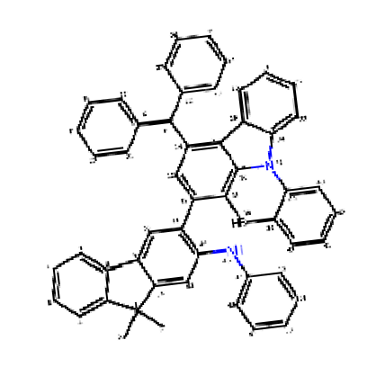 CC1(C)c2ccccc2-c2cc(-c3cc(C(c4ccccc4)c4ccccc4)c4c5ccccc5n5c4c3Bc3ccccc3-5)c(Nc3ccccc3)cc21